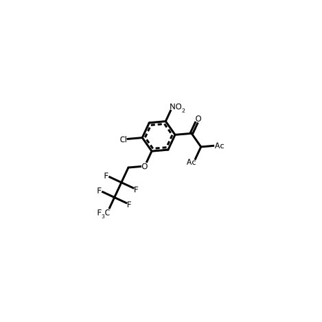 CC(=O)C(C(C)=O)C(=O)c1cc(OCC(F)(F)C(F)(F)C(F)(F)F)c(Cl)cc1[N+](=O)[O-]